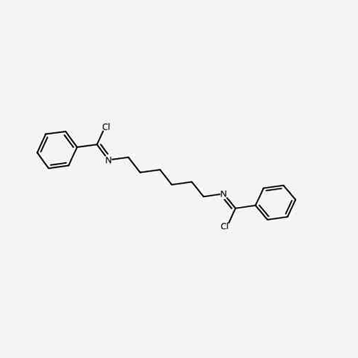 ClC(=NCCCCCCN=C(Cl)c1ccccc1)c1ccccc1